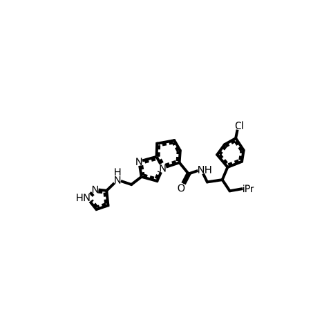 CC(C)CC(CNC(=O)c1cccc2nc(CNc3cc[nH]n3)cn12)c1ccc(Cl)cc1